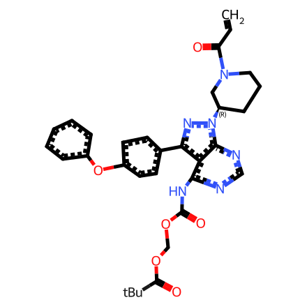 C=CC(=O)N1CCC[C@@H](n2nc(-c3ccc(Oc4ccccc4)cc3)c3c(NC(=O)OCOC(=O)C(C)(C)C)ncnc32)C1